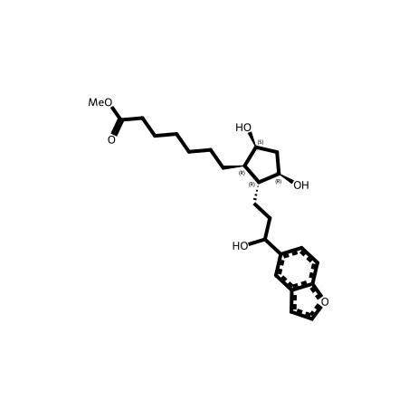 COC(=O)CCCCCC[C@@H]1[C@@H](CCC(O)c2ccc3occc3c2)[C@H](O)C[C@@H]1O